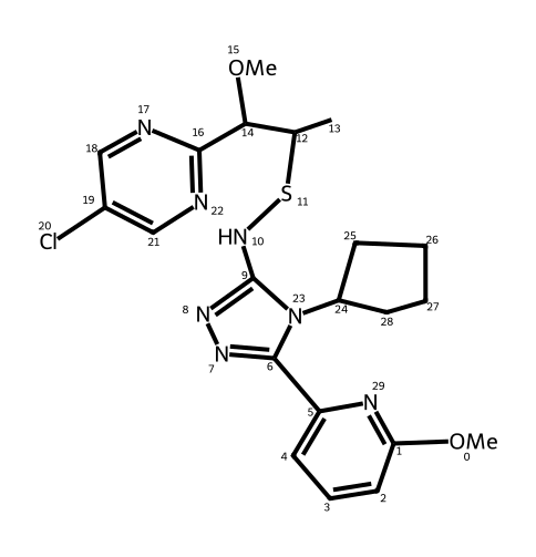 COc1cccc(-c2nnc(NSC(C)C(OC)c3ncc(Cl)cn3)n2C2CCCC2)n1